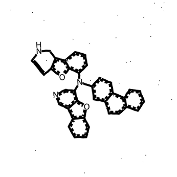 C1=Cc2oc3c(N(c4ccc5c(ccc6ccccc65)c4)c4cncc5c4oc4ccccc45)cccc3c2CN1